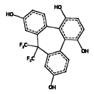 Oc1ccc2c(c1)C(C(F)(F)F)(C(F)(F)F)c1cc(O)ccc1-c1c(O)ccc(O)c1-2